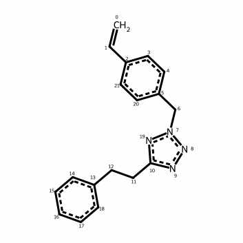 C=Cc1ccc(Cn2nnc(CCc3ccccc3)n2)cc1